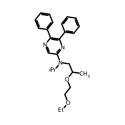 CCOCCOC(C)CN(c1cnc(-c2ccccc2)c(-c2ccccc2)n1)C(C)C